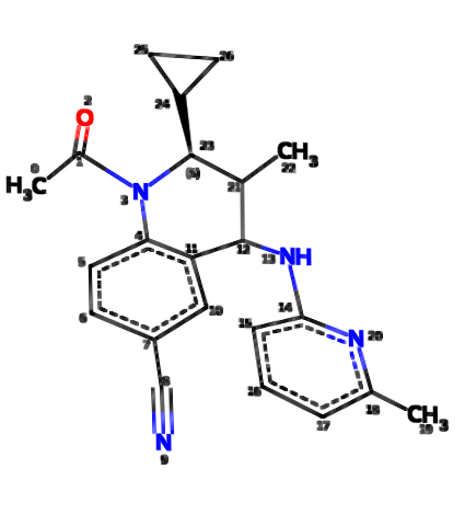 CC(=O)N1c2ccc(C#N)cc2C(Nc2cccc(C)n2)C(C)[C@@H]1C1CC1